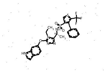 CCn1c(Oc2ccc3cc[nH]c3c2)nnc1[C@@H](C)NS(=O)(=O)c1csc(C(F)(F)F)c1-c1ccccc1